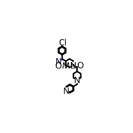 CO/N=C(/c1ccc(Cl)cc1)C1CCN(C(=O)C2CCN(Cc3ccncc3)CC2)CC1